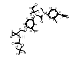 Cc1cc(N(C)C(=S)N(c2ccc(OCC3(NC(=O)OC(C)(C)C)CC3)c(F)c2)C(C)(C)C=O)ccc1C#N